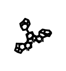 c1c(C23CC4CC5CC(C2)C5(C4)C3)cc2c3c4c(ncc3n3c5cnc6c(c5c1c23)C1CC2CC(CC6C2)C1)C1CC2CC3CC4CC321